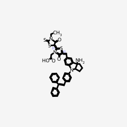 CCN1C(=O)/C(=c2\s/c(=C/c3ccc4c(c3)C3(N)CCCC3N4c3ccc(C=C(c4ccccc4)c4ccccc4)cc3)c(=O)n2CC(=O)O)SC1=S